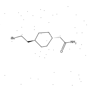 CCC(C)CC[C@H]1CC[C@H](CC(N)=O)CC1